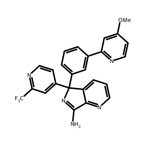 COc1ccnc(-c2cccc(C3(c4ccnc(C(F)(F)F)c4)N=C(N)c4ncccc43)c2)c1